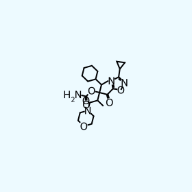 CC(C(=O)N1CCOCC1)C(OC(N)=O)(C(=O)c1nc(C2CC2)no1)C(C)C1CCCCC1